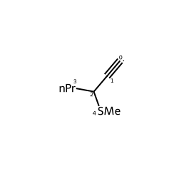 [C]#CC(CCC)SC